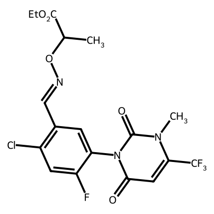 CCOC(=O)C(C)O/N=C/c1cc(-n2c(=O)cc(C(F)(F)F)n(C)c2=O)c(F)cc1Cl